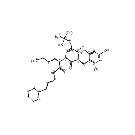 CSCC[C@@H](NC(=O)[C@H](Cc1c(C)cc(O)cc1C)NC(=O)OC(C)(C)C)C(=O)NCCCC1CCCCC1